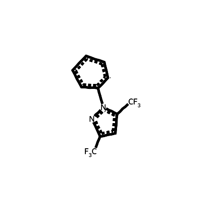 FC(F)(F)c1cc(C(F)(F)F)n(-c2[c]cccc2)n1